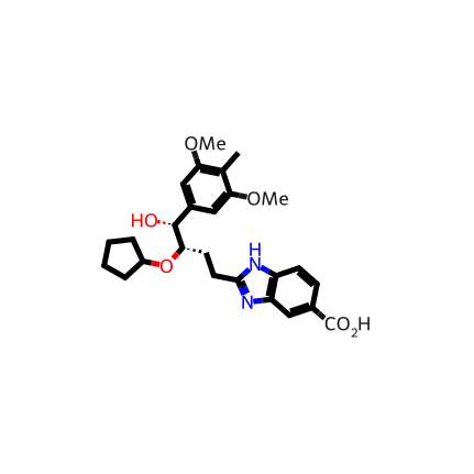 COc1cc([C@@H](O)[C@H](CCc2nc3cc(C(=O)O)ccc3[nH]2)OC2CCCC2)cc(OC)c1C